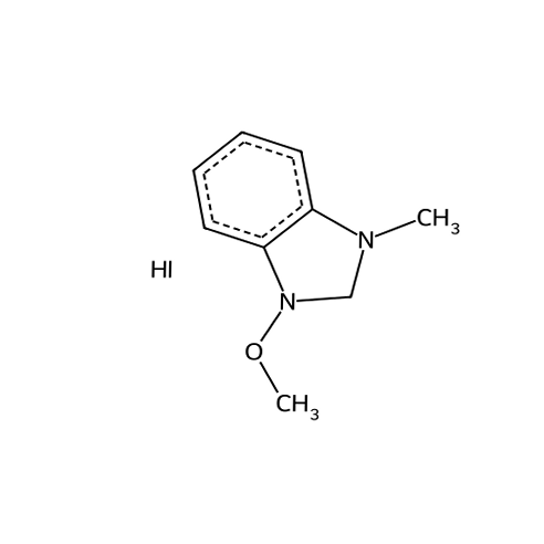 CON1CN(C)c2ccccc21.I